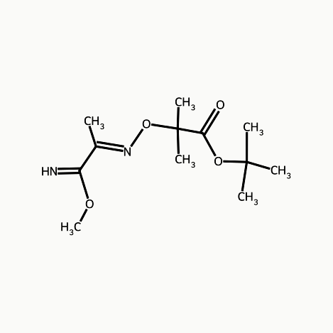 COC(=N)/C(C)=N/OC(C)(C)C(=O)OC(C)(C)C